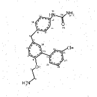 NCCOc1ccc(Cc2ccc(NC(N)=O)cc2)cc1-c1cccc(Cl)c1